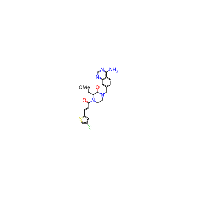 COC[C@H]1C(=O)N(Cc2ccc3c(N)ncnc3c2)CCN1C(=O)C=Cc1cc(Cl)cs1